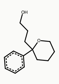 OCCCC1(c2ccccc2)CCCCO1